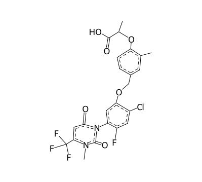 Cc1cc(COc2cc(-n3c(=O)cc(C(F)(F)F)n(C)c3=O)c(F)cc2Cl)ccc1OC(C)C(=O)O